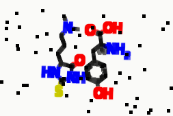 CN(C)CCCC1NC(=S)NC1=O.N[C@@H](Cc1ccc(O)cc1)C(=O)O